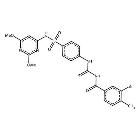 COc1cc(NS(=O)(=O)c2ccc(NC(=S)NC(=O)c3ccc(C)c(Br)c3)cc2)nc(OC)n1